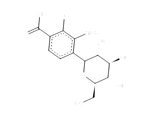 CC(=O)Nc1c(C2O[C@H](CO)[C@@H](O)[C@H](O)[C@H]2O)ccc(C(=O)Cl)c1C(C)=O